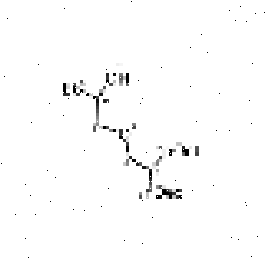 CCCCCCCCCCC(CCCCCCCC)COCC(O)CC